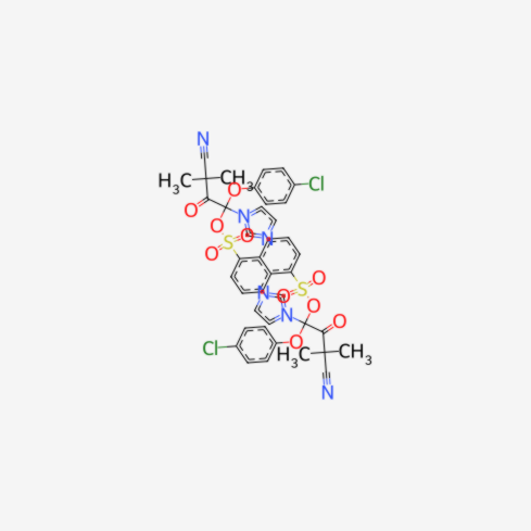 CC(C)(C#N)C(=O)C(Oc1ccc(Cl)cc1)(OS(=O)(=O)c1cccc2c(S(=O)(=O)OC(Oc3ccc(Cl)cc3)(C(=O)C(C)(C)C#N)n3ccnc3)cccc12)n1ccnc1